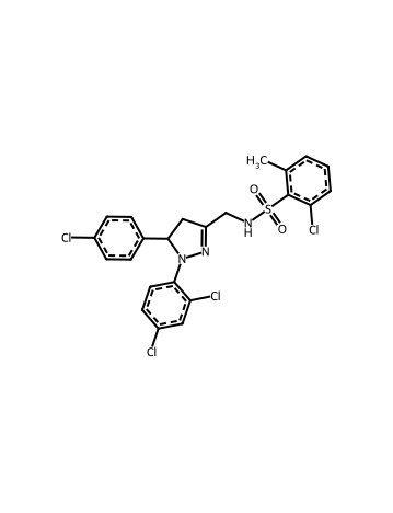 Cc1cccc(Cl)c1S(=O)(=O)NCC1=NN(c2ccc(Cl)cc2Cl)C(c2ccc(Cl)cc2)C1